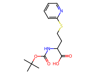 CC(C)(C)OC(=O)NC(CCSc1ccccn1)C(=O)O